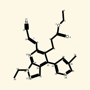 CCOC(=O)CCc1c(/C=C/C#N)nc2c(cnn2CC)c1-c1cncc(C)c1